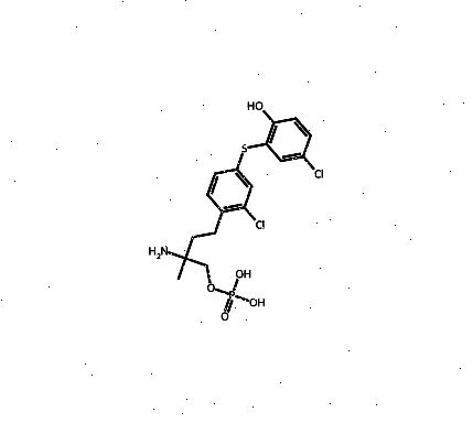 CC(N)(CCc1ccc(Sc2cc(Cl)ccc2O)cc1Cl)COP(=O)(O)O